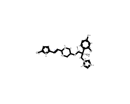 C[C@@H](SC1COC(/C=C/c2ccc(Cl)s2)OC1)[C@](O)(Cn1cncn1)c1ccc(F)cc1F